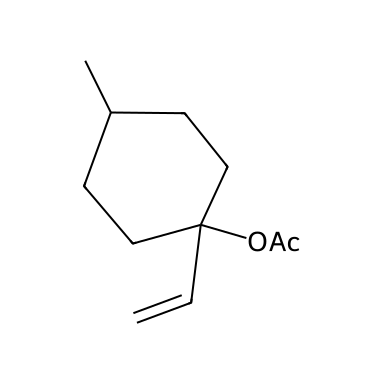 C=CC1(OC(C)=O)CCC(C)CC1